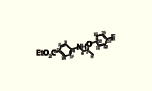 CCOC(=O)c1ccc(NCC(C)Oc2ccc(F)cc2)cc1